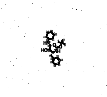 CC(C)(C)OC(=O)N[C@@H](Cc1ccccc1)[C@@H](O)CNC1CCCCC1